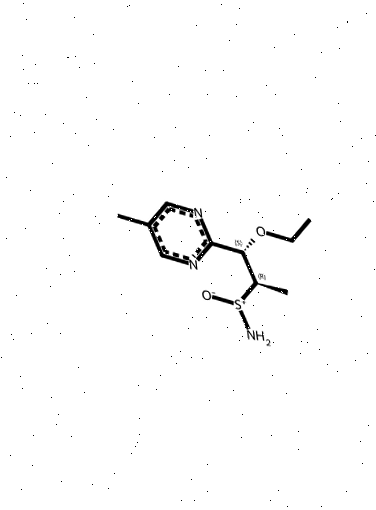 CCO[C@@H](c1ncc(C)cn1)[C@@H](C)[S+](N)[O-]